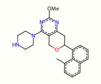 COc1nc2c(c(N3CCNCC3)n1)COC(c1cccc3cccc(C)c13)C2